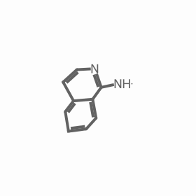 [NH]c1nccc2ccccc12